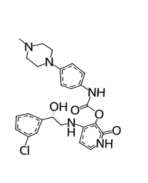 CN1CCN(c2ccc(NC(=O)Oc3c(NC[C@@H](O)c4cccc(Cl)c4)cc[nH]c3=O)cc2)CC1